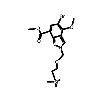 COC(=O)c1cc(Br)c(OC)c2cn(COCC[Si](C)(C)C)nc12